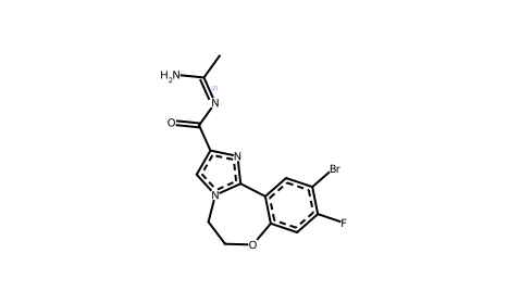 C/C(N)=N/C(=O)c1cn2c(n1)-c1cc(Br)c(F)cc1OCC2